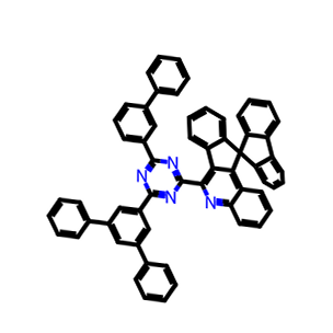 c1ccc(-c2cccc(-c3nc(-c4cc(-c5ccccc5)cc(-c5ccccc5)c4)nc(-c4nc5ccccc5c5c4-c4ccccc4C54c5ccccc5-c5ccccc54)n3)c2)cc1